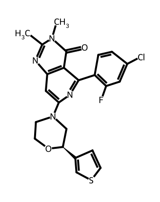 Cc1nc2cc(N3CCO[C@H](c4ccsc4)C3)nc(-c3ccc(Cl)cc3F)c2c(=O)n1C